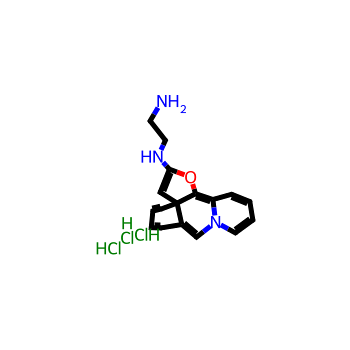 Cl.Cl.Cl.NCCNC1=CC23C=CC=CC2=CN2C=CC=CC2=C3O1